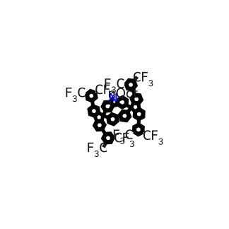 CCCCCCCCn1c2ccc(C3(c4ccccc4)c4cc(-c5cc(C(F)(F)F)cc(C(F)(F)F)c5)ccc4-c4ccc(-c5cc(C(F)(F)F)cc(C(F)(F)F)c5)cc43)cc2c2cc(C3(c4ccccc4)c4cc(-c5cc(C(F)(F)F)cc(C(F)(F)F)c5)ccc4-c4ccc(-c5cc(C(F)(F)F)cc(C(F)(F)F)c5)cc43)ccc21